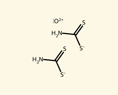 NC(=S)[S-].NC(=S)[S-].[O+2]